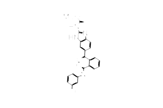 CCc1cccc(NC(=O)c2ccccc2C(=O)c2ccc3nc(NC(=O)OC)[nH]c3c2)c1